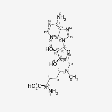 CN(CCC[C@@H](N)C(=O)O)C[C@H]1O[C@@H](n2cnc3c(N)ncnc32)[C@H](O)[C@@H]1O